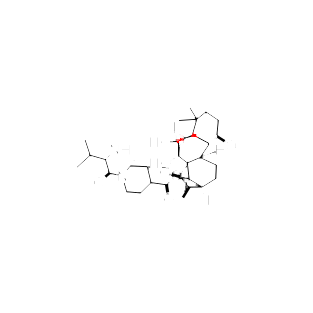 C=C1C(=O)[C@]23[C@H](OC(=O)C4CCN(C(=O)[C@H](N)C(C)C)CC4)[C@H]1CC[C@H]2[C@@]12CO[C@]3(O)[C@@H](O)C1C(C)(C)CCC2=O